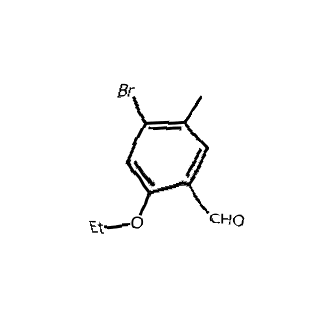 CCOc1cc(Br)c(C)cc1C=O